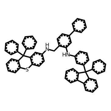 c1ccc(-c2ccc(CNc3ccc4c(c3)C(c3ccccc3)(c3ccccc3)c3ccccc3S4)c(Nc3cccc(C4(c5ccccc5)c5ccccc5-c5ccccc54)c3)c2)cc1